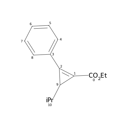 CCOC(=O)C1=C(c2ccccc2)C1C(C)C